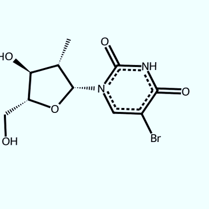 C[C@H]1[C@H](O)[C@@H](CO)O[C@H]1n1cc(Br)c(=O)[nH]c1=O